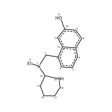 CCN(Cc1cccc2ccc(O)cc12)C1CCCCN1